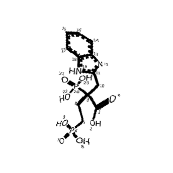 O=C(O)C(CCP(=O)(O)O)(Cc1nc2ccccc2[nH]1)P(=O)(O)O